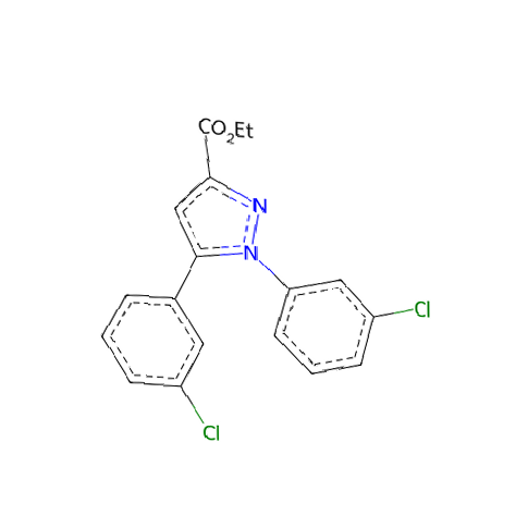 CCOC(=O)c1cc(-c2cccc(Cl)c2)n(-c2cccc(Cl)c2)n1